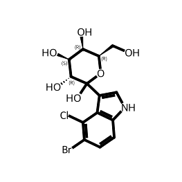 OC[C@H]1OC(O)(c2c[nH]c3ccc(Br)c(Cl)c23)[C@H](O)[C@@H](O)[C@H]1O